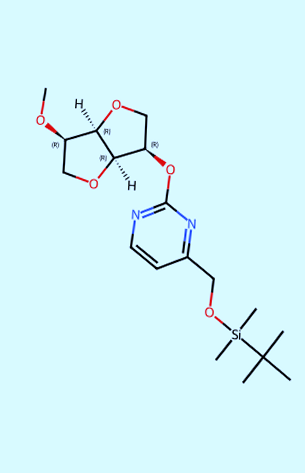 CO[C@@H]1CO[C@H]2[C@@H]1OC[C@H]2Oc1nccc(CO[Si](C)(C)C(C)(C)C)n1